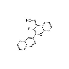 ON=c1c(F)c(-c2cc3ccccc3cn2)oc2ccccc12